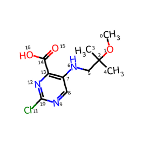 COC(C)(C)CNc1cnc(Cl)nc1C(=O)O